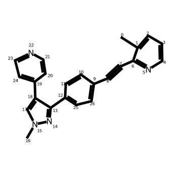 Cc1cccnc1C#Cc1ccc(-c2nn(C)cc2-c2ccncc2)cc1